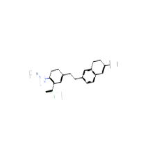 C=C(Cl)C1=C(N(C)C(C)C)CCC(CCc2ccc3c(c2)CCC(CC)=C3)=C1